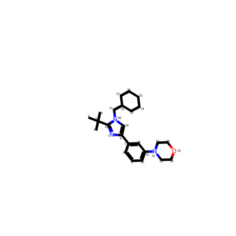 CC(C)(C)c1nc(-c2cccc(N3CCOCC3)c2)cn1CC1CCCCC1